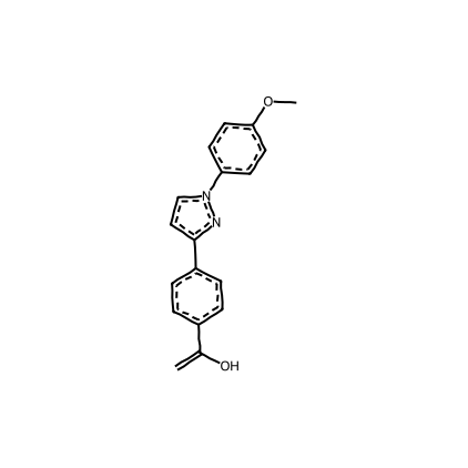 C=C(O)c1ccc(-c2ccn(-c3ccc(OC)cc3)n2)cc1